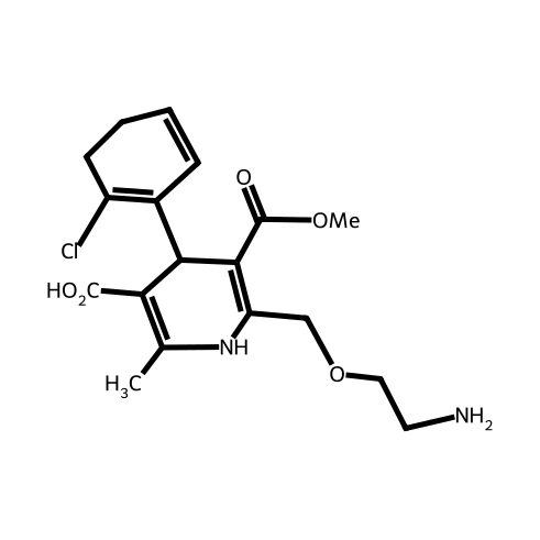 COC(=O)C1=C(COCCN)NC(C)=C(C(=O)O)C1C1=C(Cl)CCC=C1